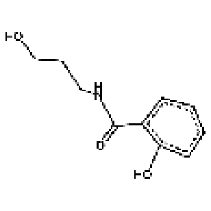 O=C(NCCCO)c1ccccc1O